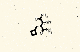 CCC[C@H](C(N)=O)[C@@H](CC1CCC1)C(=O)NCC